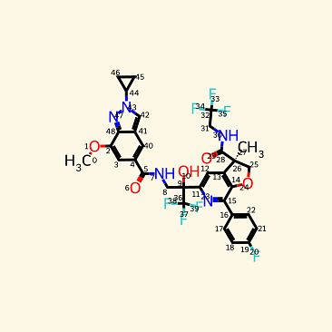 COc1cc(C(=O)NCC(O)(c2cc3c(c(-c4ccc(F)cc4)n2)OC[C@]3(C)C(=O)NCC(F)(F)F)C(F)(F)F)cc2cn(C3CC3)nc12